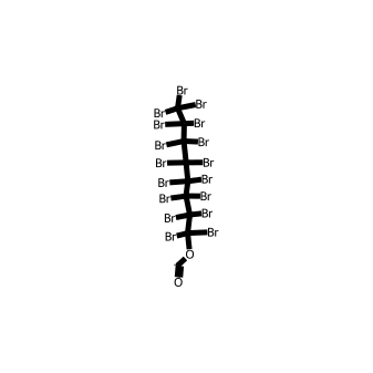 O=[C]OC(Br)(Br)C(Br)(Br)C(Br)(Br)C(Br)(Br)C(Br)(Br)C(Br)(Br)C(Br)(Br)C(Br)(Br)Br